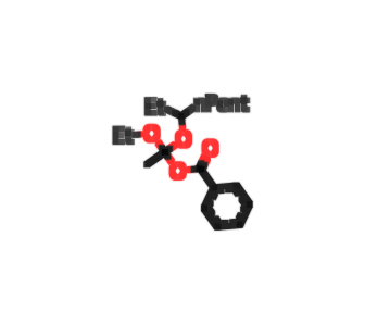 CCCCCC(CC)OC(C)(OCC)OC(=O)c1ccccc1